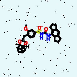 COc1cc([S+]([O-])NC(=O)Nc2c3c(cc4c2CCC4)CCC3)ccc1CB1O[C@@H]2CC3CC(C3(C)C)[C@]2(C)O1